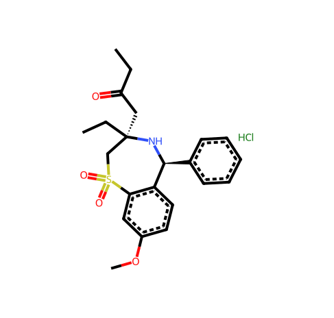 CCC(=O)C[C@@]1(CC)CS(=O)(=O)c2cc(OC)ccc2[C@H](c2ccccc2)N1.Cl